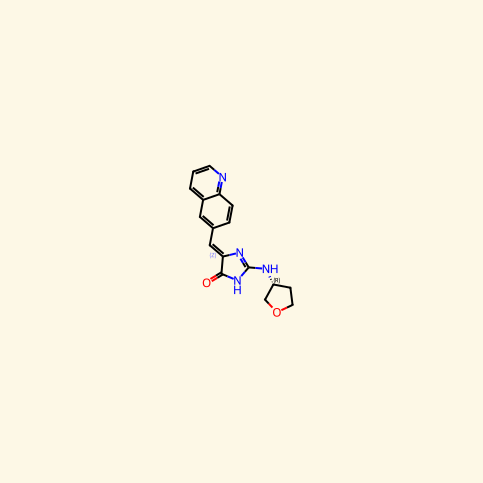 O=C1NC(N[C@@H]2CCOC2)=N/C1=C\c1ccc2ncccc2c1